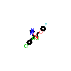 Cl.Fc1ccc(OCC2COC(CCc3ccc(Cl)cc3)(Cn3ccnc3)O2)cc1